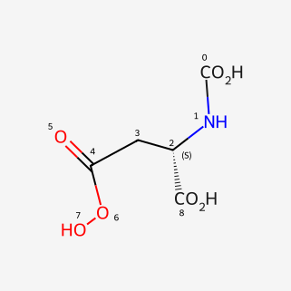 O=C(O)N[C@@H](CC(=O)OO)C(=O)O